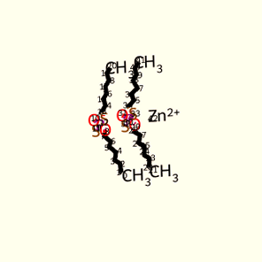 CCCCCCCCOP([O-])(=S)SCCCCCCCC.CCCCCCCCOP([O-])(=S)SCCCCCCCC.[Zn+2]